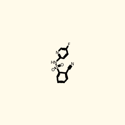 N#Cc1ccccc1S(=O)(=O)Nc1ccc(F)cn1